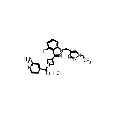 Cl.Nc1cc(C(=O)N2CC(c3nn(Cc4cn(CC(F)(F)F)nn4)c4cccc(F)c34)C2)ccn1